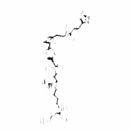 Cn1cc(CCC(=O)NCCc2nc(-c3nc(C(=O)NCCCN(CCCCNC(=O)OC(C)(C)C)C(=O)OC(C)(C)C)cs3)cs2)nn1